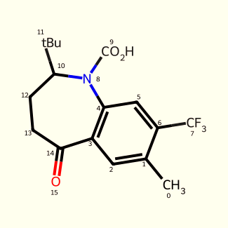 Cc1cc2c(cc1C(F)(F)F)N(C(=O)O)C(C(C)(C)C)CCC2=O